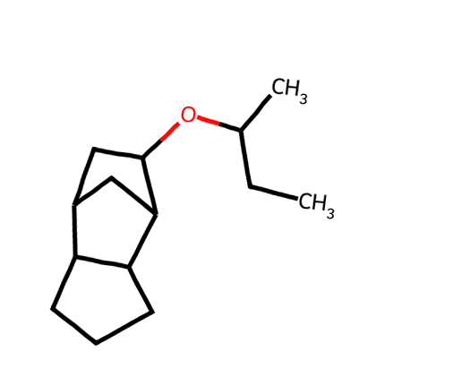 CCC(C)OC1CC2CC1C1CCCC21